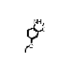 CCOc1ccc(N)c(Cl)c1